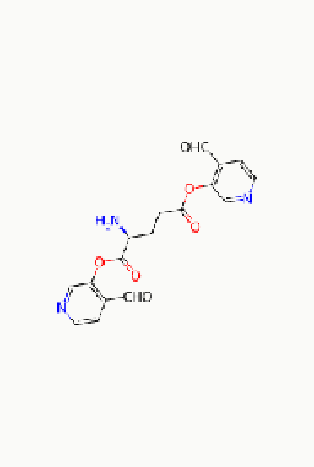 N[C@@H](CCC(=O)Oc1cnccc1C=O)C(=O)Oc1cnccc1C=O